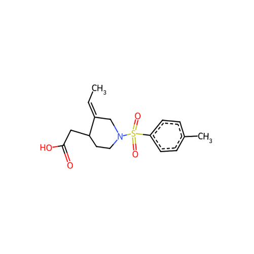 C/C=C1\CN(S(=O)(=O)c2ccc(C)cc2)CCC1CC(=O)O